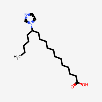 CCCCCC(CCCCCCCCCCCC(=O)O)n1ccnc1